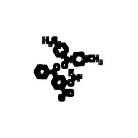 CN1CCN(C(=O)N2CCN(C)CC2)CC1.O=C(c1ccccc1)c1ccc([N+](=O)[O-])c(OC(F)F)c1